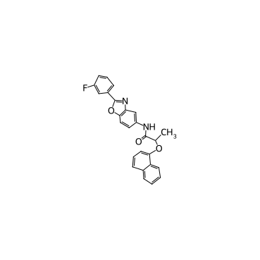 CC(Oc1cccc2ccccc12)C(=O)Nc1ccc2oc(-c3cccc(F)c3)nc2c1